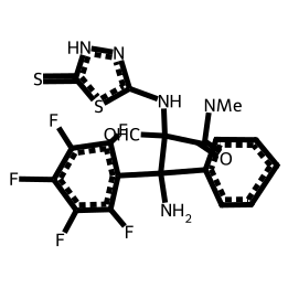 CNC(=O)C(C=O)(Nc1n[nH]c(=S)s1)C(N)(c1ccccc1)c1c(F)c(F)c(F)c(F)c1F